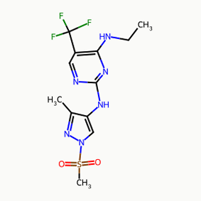 CCNc1nc(Nc2cn(S(C)(=O)=O)nc2C)ncc1C(F)(F)F